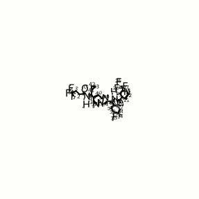 O=C(CCC(F)(F)F)NC(c1cnn2cc([C@@H](NC(=O)c3ccnc(C(F)(F)F)c3)C3CCC(F)(F)CC3)nc2c1)C1CC1